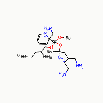 CCCC(N)(CC(CN)CCN)O[Si](OCC(CCNC)NC)(OC(C)(C)C)C1(CN)C=CC=CN1